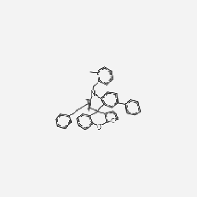 Cc1ccccc1CN1c2ccc(-c3ccccc3)cc2C2(c3ccccc3Oc3ccccc32)c2cc(-c3ccccc3)ccc21